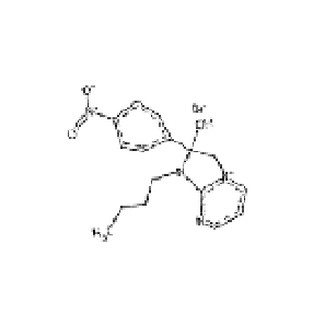 CCCCN1c2nccc[n+]2CC1(O)c1ccc([N+](=O)[O-])cc1.[Br-]